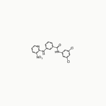 O=C(Nc1cc(Cl)cc(Cl)c1)c1cccc(Nc2ncccc2[N+](=O)[O-])c1